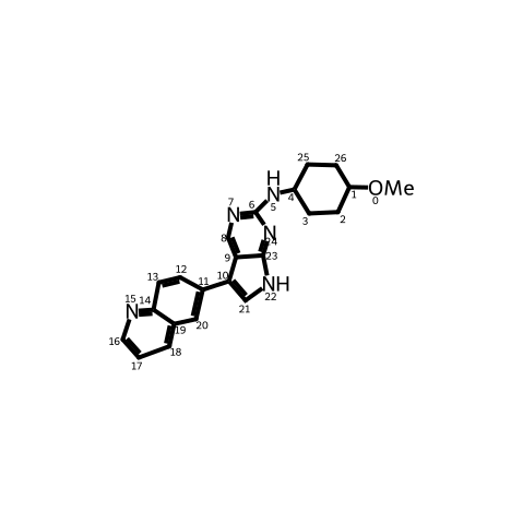 COC1CCC(Nc2ncc3c(-c4ccc5ncccc5c4)c[nH]c3n2)CC1